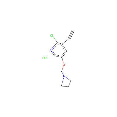 C#Cc1cc(OCN2CCC2)cnc1Cl.Cl